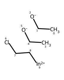 CC[O-].CC[O-].ClC[CH2][In+2]